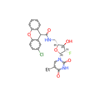 CCc1cn([C@@H]2O[C@H](CNC(=O)C3c4ccccc4Oc4ccc(Cl)cc43)[C@@H](O)[C@@H]2F)c(=O)[nH]c1=O